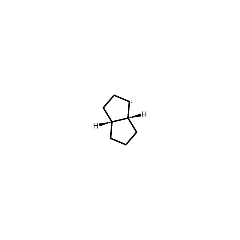 [C]1CC[C@H]2CCC[C@@H]12